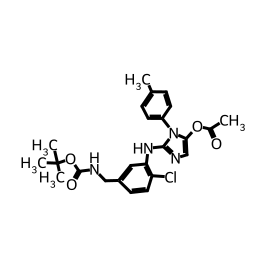 CC(=O)Oc1cnc(Nc2cc(CNC(=O)OC(C)(C)C)ccc2Cl)n1-c1ccc(C)cc1